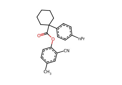 CCCc1ccc(C2(C(=O)Oc3ccc(C)cc3C#N)CCCCC2)cc1